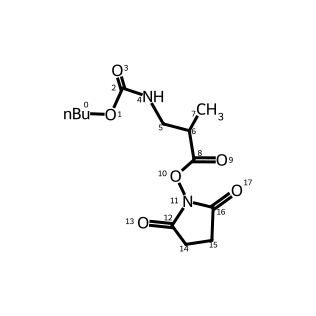 CCCCOC(=O)NCC(C)C(=O)ON1C(=O)CCC1=O